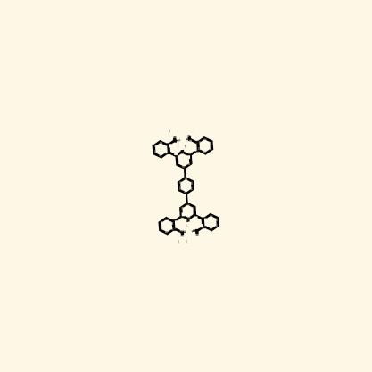 O=c1c2ccccc2c2cc(-c3ccc(-c4cc5c6ccccc6c(=O)n6c(=O)c7ccccc7c(c4)c56)cc3)cc3c4ccccc4c(=O)n1c23